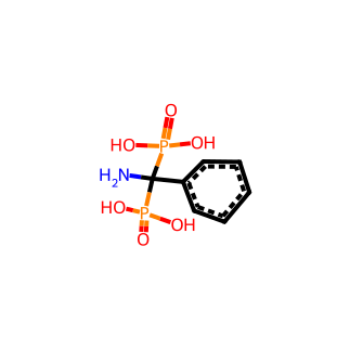 NC(c1ccccc1)(P(=O)(O)O)P(=O)(O)O